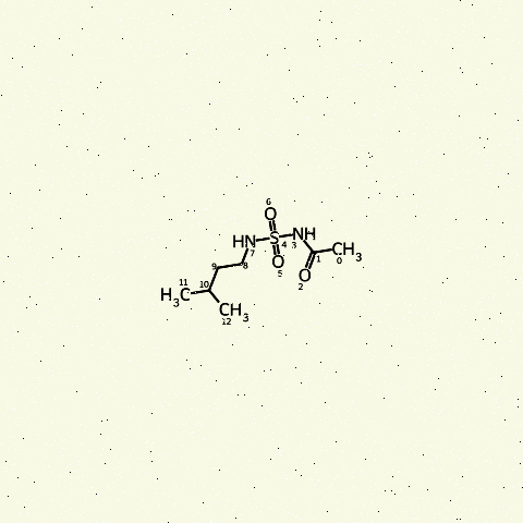 CC(=O)NS(=O)(=O)NCCC(C)C